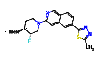 CN[C@H]1CCN(c2cc3cc(-c4nnc(C)s4)ccc3cn2)C[C@@H]1F